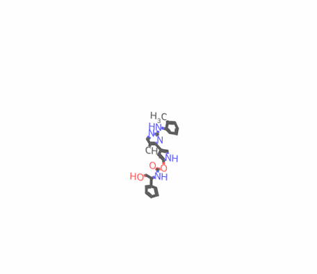 Cc1ccccc1Nc1ncc(C)c(-c2c[nH]c(OC(=O)NC(CO)c3ccccc3)c2)n1